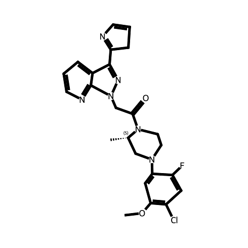 COc1cc(N2CCN(C(=O)Cn3nc(C4=NC=CC4)c4cccnc43)[C@@H](C)C2)c(F)cc1Cl